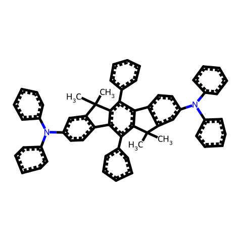 CC1(C)c2cc(N(c3ccccc3)c3ccccc3)ccc2-c2c(-c3ccccc3)c3c(c(-c4ccccc4)c21)-c1ccc(N(c2ccccc2)c2ccccc2)cc1C3(C)C